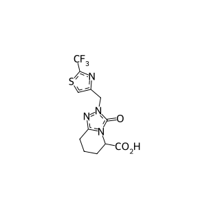 O=C(O)C1CCCc2nn(Cc3csc(C(F)(F)F)n3)c(=O)n21